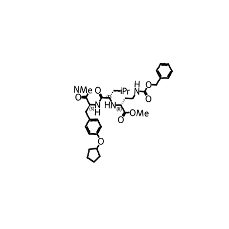 CNC(=O)[C@H](Cc1ccc(OC2CCCC2)cc1)NC(=O)[C@H](CC(C)C)N[C@H](CCNC(=O)OCc1ccccc1)C(=O)OC